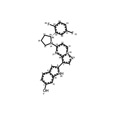 Oc1ccc2cc(-c3cnn4ccc(N5CCC[C@@H]5c5cc(F)ccc5F)nc34)[nH]c2c1